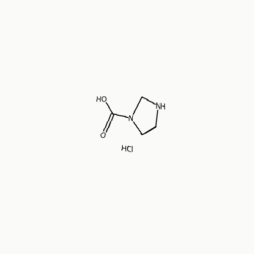 Cl.O=C(O)N1CCNC1